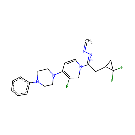 C=N/N=C(/CC1CC1(F)F)N1C=CC(N2CCN(c3ccccc3)CC2)=C(F)C1